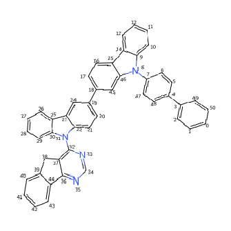 c1ccc(-c2ccc(-n3c4ccccc4c4ccc(-c5ccc6c(c5)c5ccccc5n6-c5ncnc6c5Cc5ccccc5-6)cc43)cc2)cc1